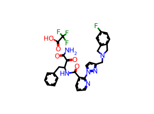 NC(=O)C(=O)C(Cc1ccccc1)NC(=O)c1cccnc1-n1ccc(CN2Cc3ccc(F)cc3C2)n1.O=C(O)C(F)(F)F